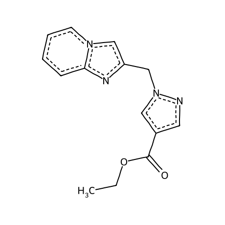 CCOC(=O)c1cnn(Cc2cn3ccccc3n2)c1